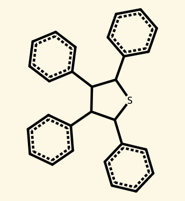 c1ccc(C2SC(c3ccccc3)C(c3ccccc3)C2c2ccccc2)cc1